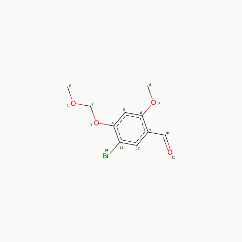 COCOc1cc(OC)c(C=O)cc1Br